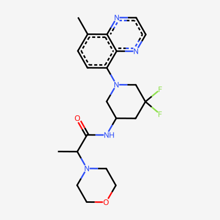 Cc1ccc(N2CC(NC(=O)C(C)N3CCOCC3)CC(F)(F)C2)c2nccnc12